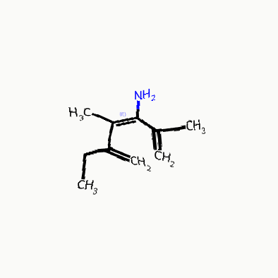 C=C(CC)/C(C)=C(/N)C(=C)C